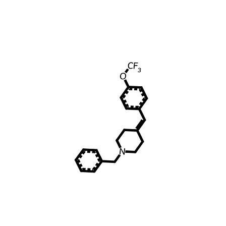 FC(F)(F)Oc1ccc(C=C2CCN(Cc3ccccc3)CC2)cc1